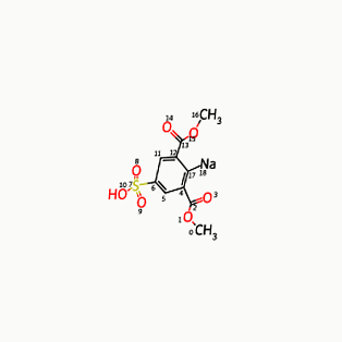 COC(=O)c1cc(S(=O)(=O)O)cc(C(=O)OC)[c]1[Na]